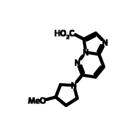 COC1CCN(c2ccc3ncc(C(=O)O)n3n2)C1